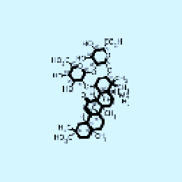 CC1(C)[C@@H](O[C@H]2O[C@H](C(=O)O)[C@@H](O)[C@H](O)[C@H]2O[C@@H]2O[C@H](C(=O)O)[C@@H](O)[C@H](O)[C@H]2O)CC[C@]2(C)[C@H]3C(=O)C=C4[C@@H]5C[C@@](C)(C(=O)O)CC[C@]5(C)CC[C@@]4(C)[C@]3(C)CC[C@@H]12.[MgH2]